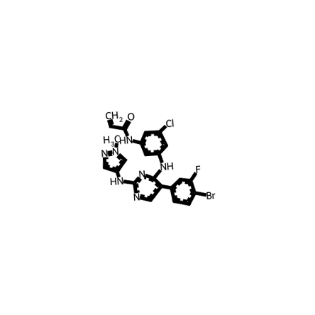 C=CC(=O)Nc1cc(Cl)cc(Nc2nc(Nc3cnn(C)c3)ncc2-c2ccc(Br)c(F)c2)c1